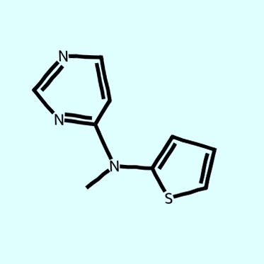 CN(c1ccncn1)c1cccs1